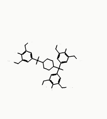 COCc1cc(C(C)(C)C2CCC(C(C)(c3cc(COC)c(O)c(COC)c3)c3cc(COC)c(O)c(COC)c3)CC2)cc(COC)c1O